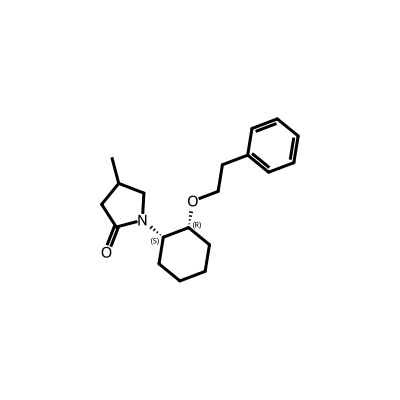 CC1CC(=O)N([C@H]2CCCC[C@H]2OCCc2ccccc2)C1